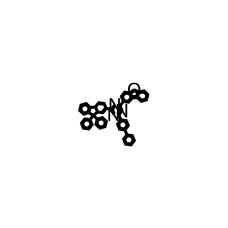 C1=CC2c3ccccc3C(c3ccccc3)(c3ccccc3)C2C=C1c1nc(-c2ccc(-c3ccccc3)cc2)nc(-c2ccc3oc4ccccc4c3c2)n1